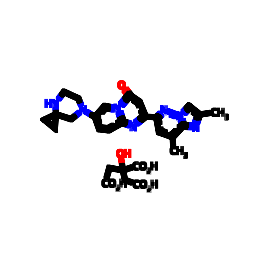 Cc1cn2nc(-c3cc(=O)n4cc(N5CCNC6(CC6)C5)ccc4n3)cc(C)c2n1.O=C(O)CC(O)(CC(=O)O)C(=O)O